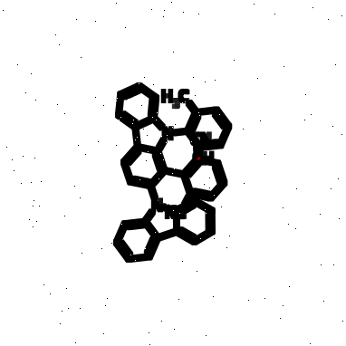 Cc1cccc(C)c1-n1c2ccccc2c2ccc(-n3c4ccccc4c4ccccc43)c(-c3c(C#N)cccc3C#N)c21